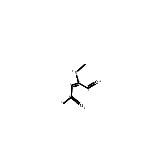 CS/C(C=O)=C/C(C)=O